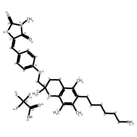 Cc1c(C)c2c(c(C)c1CCCCCCN)CCC(C)(COc1ccc(C=C3SC(=O)N(C)C3=O)cc1)O2.O=C(O)C(F)(F)F